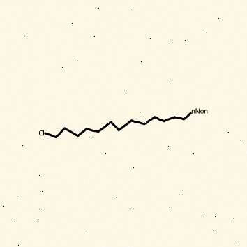 CCCCCCCCCCCCCCCCCCC[CH]CCCl